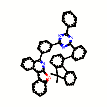 CC1(C)c2ccccc2-c2c(-c3ccccc3-c3nc(-c4ccccc4)nc(-c4cccc(-c5nc6oc7ccccc7c6c6ccccc56)c4)n3)cccc21